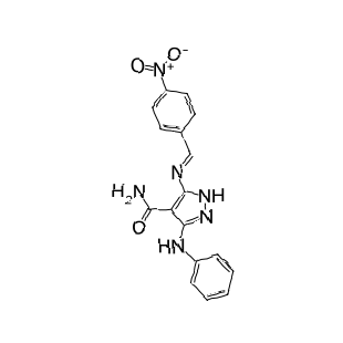 NC(=O)c1c(Nc2ccccc2)n[nH]c1/N=C/c1ccc([N+](=O)[O-])cc1